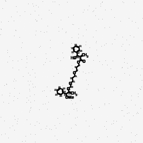 C=C(C(=O)OCCCOCCCOCOC(=C)C(OC)c1ccccc1)C(O)c1ccccc1